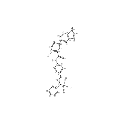 O=C(Nc1ccc(CO[C@H](c2ccccc2)C(F)(F)F)cc1)c1cc(-c2ncc3[nH]nnc3n2)ccc1F